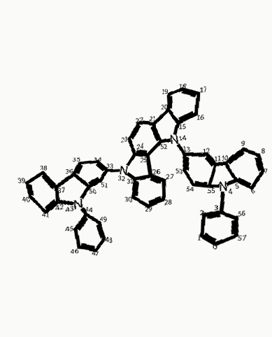 c1ccc(-n2c3ccccc3c3cc(-n4c5ccccc5c5ccc6c(c7ccccc7n6-c6ccc7c8ccccc8n(-c8ccccc8)c7c6)c54)ccc32)cc1